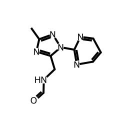 Cc1nc(CNC=O)n(-c2ncccn2)n1